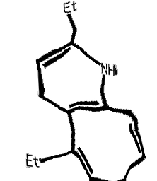 CCC1=CCC2=C(C=CCC=C2CC)N1